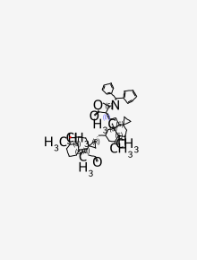 CC1(C)CC(C[C@@H]2CC23CC[C@H]2C(C)(C)CCC[C@]2(C)[C@H]3CC=O)C[C@@]2(C)[C@H]1CCC1(CC1)[C@@H]2C/C=C1/C(=O)OC[C@H]1N=C(c1ccccc1)c1ccccc1